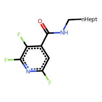 CCCCCCCCNC(=O)c1cc(F)nc(F)c1F